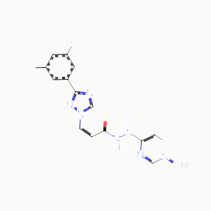 C=N/C=N\C(=C/C)NNC(=O)/C=C\n1cnc(-c2cc(C(F)(F)F)cc(C(F)(F)F)c2)n1